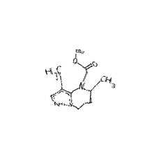 Cc1cnn2c1N(C(=O)OC(C)(C)C)C(C)CC2